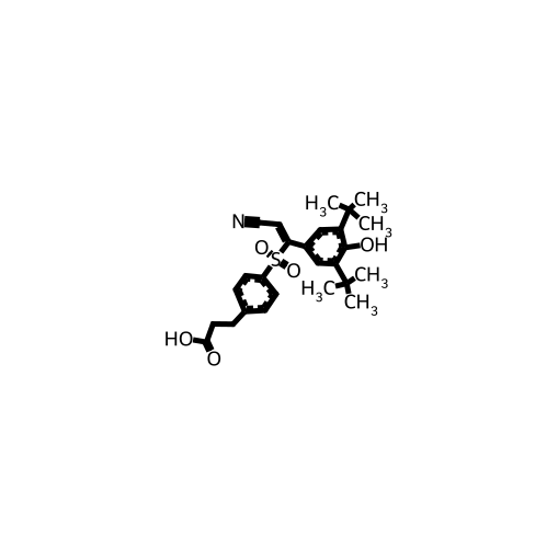 CC(C)(C)c1cc(C(=CC#N)S(=O)(=O)c2ccc(CCC(=O)O)cc2)cc(C(C)(C)C)c1O